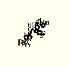 COC(=O)C1(Nc2cccc(Cl)c2)CCC2(CC1)c1cc3c(cc1C[C@@H]2C[C@@H](C)COc1ccnc2c1[C@H](C)CC[C@H]2O[Si](C(C)C)(C(C)C)C(C)C)OCO3